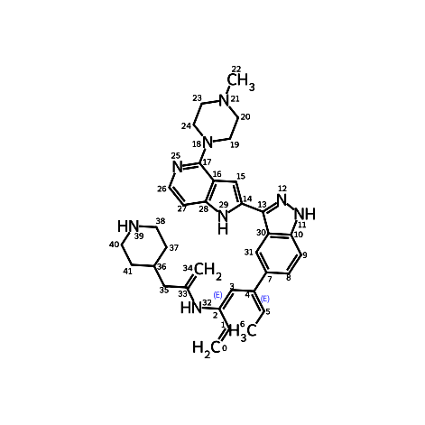 C=C/C(=C\C(=C/C)c1ccc2[nH]nc(-c3cc4c(N5CCN(C)CC5)nccc4[nH]3)c2c1)NC(=C)CC1CCNCC1